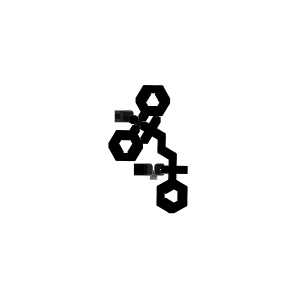 CC(CCCC(C)(C)[Si](O)(c1ccccc1)c1ccccc1)(C(=O)O)c1ccccc1